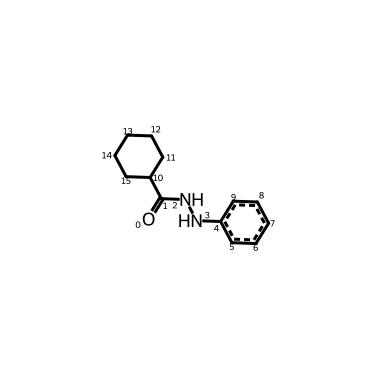 O=C(NNc1ccccc1)C1CCCCC1